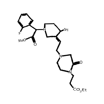 CCOC(=O)CCN1CCN(C/C=C2\CN(C(C(=O)OC)c3ccccc3F)CCC2S)CC1=O